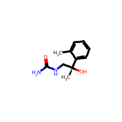 Cc1ccccc1[C@](C)(O)CNC(N)=O